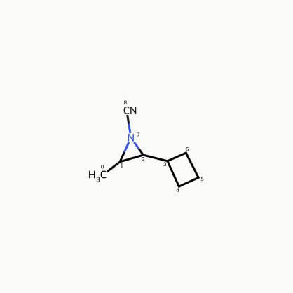 CC1C(C2CCC2)N1C#N